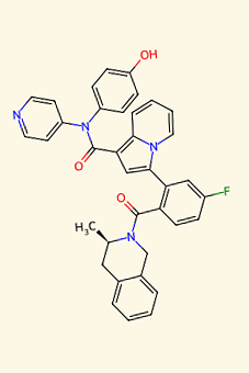 C[C@@H]1Cc2ccccc2CN1C(=O)c1ccc(F)cc1-c1cc(C(=O)N(c2ccncc2)c2ccc(O)cc2)c2ccccn12